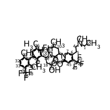 CCN(C)CCc1cn(C(CC(C)C)C(=O)N[C@@H](CC(=O)O)c2c(F)c(C)cc(-c3c(C)ccc(C(F)(F)F)c3C)c2F)c(=O)cc1C(F)(F)F